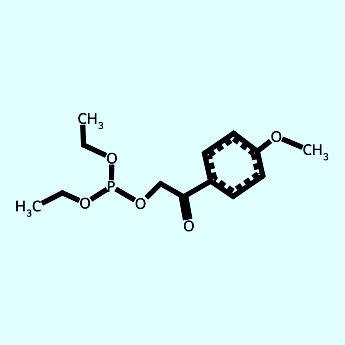 CCOP(OCC)OCC(=O)c1ccc(OC)cc1